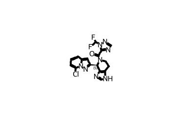 O=C(c1ncnn1C(F)F)N1CCc2[nH]cnc2[C@H]1c1cc2cccc(Cl)n2n1